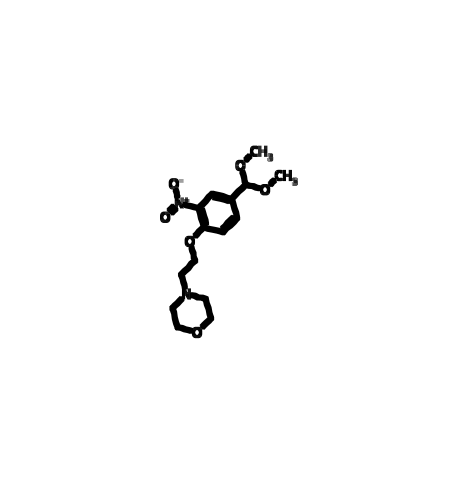 COC(OC)c1ccc(OCCN2CCOCC2)c([N+](=O)[O-])c1